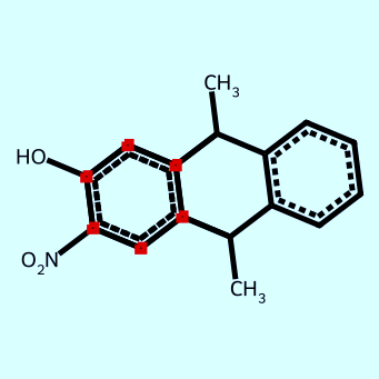 CC12c3ccccc3C(C)(c3ccccc31)c1cc([N+](=O)[O-])c(O)cc12